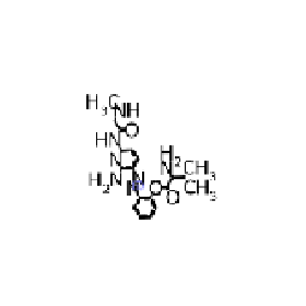 CNCC(=O)Nc1ccc(/N=N/c2ccccc2OC(=O)C(N)C(C)C)c(N)n1